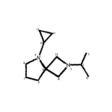 CC(C)N1CC2(CCCN2C2CC2)C1